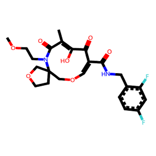 COCCN1C(=O)/C(C)=C(\O)C(=O)/C(C(=O)NCc2ccc(F)cc2F)=C\OCC12CCOC2